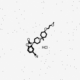 COCCOC1CCC(C)(N2CCC(n3c(=O)oc4ccc(C#N)cc43)CC2)CC1.Cl